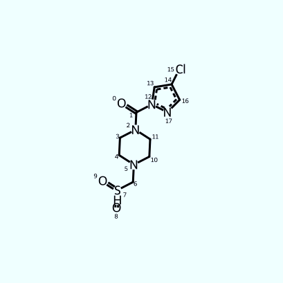 O=C(N1CCN(C[SH](=O)=O)CC1)n1cc(Cl)cn1